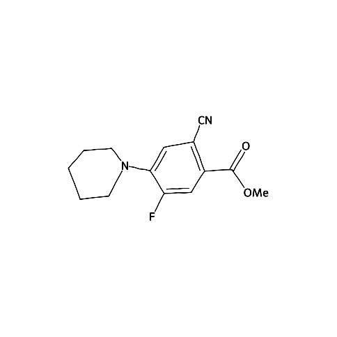 COC(=O)c1cc(F)c(N2CCCCC2)cc1C#N